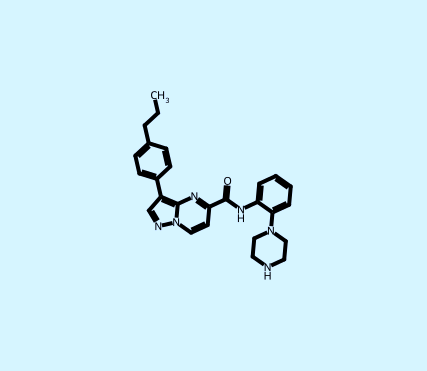 CCCc1ccc(-c2cnn3ccc(C(=O)Nc4ccccc4N4CCNCC4)nc23)cc1